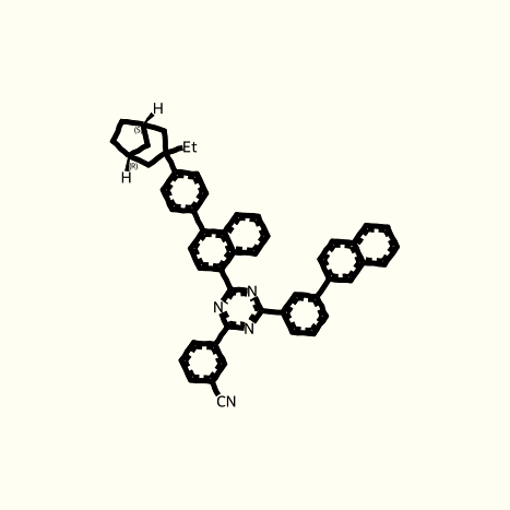 CCC1(c2ccc(-c3ccc(-c4nc(-c5cccc(C#N)c5)nc(-c5cccc(-c6ccc7ccccc7c6)c5)n4)c4ccccc34)cc2)C[C@@H]2CC[C@@H](C2)C1